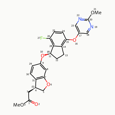 COC(=O)C[C@@H]1COc2cc(O[C@@H]3CCc4c(Oc5cnc(OC)nc5)ccc(F)c43)ccc21